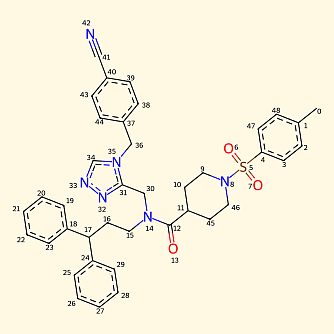 Cc1ccc(S(=O)(=O)N2CCC(C(=O)N(CCC(c3ccccc3)c3ccccc3)Cc3nncn3Cc3ccc(C#N)cc3)CC2)cc1